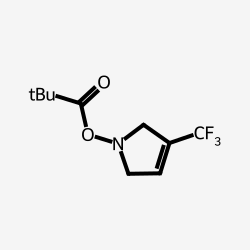 CC(C)(C)C(=O)ON1CC=C(C(F)(F)F)C1